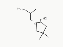 CC(C[C@H]1CC(F)(F)CN1)C(=O)O.Cl